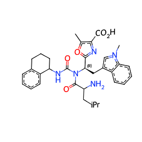 Cc1oc([C@@H](Cc2cn(C)c3ccccc23)N(C(=O)NC2CCCc3ccccc32)C(=O)C(N)CC(C)C)nc1C(=O)O